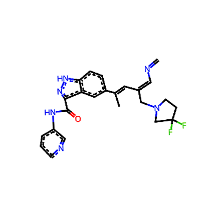 C=N/C=C(\C=C(/C)c1ccc2[nH]nc(C(=O)Nc3cccnc3)c2c1)CN1CCC(F)(F)C1